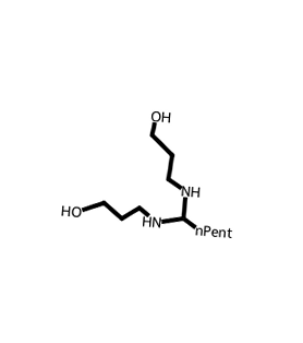 CCCCCC(NCCCO)NCCCO